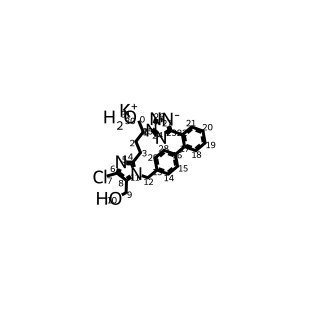 CCCCc1nc(Cl)c(CO)n1Cc1ccc(-c2ccccc2-c2nnn[n-]2)cc1.O.[K+]